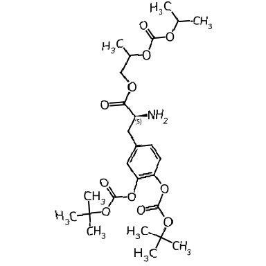 CC(C)OC(=O)OC(C)COC(=O)[C@@H](N)Cc1ccc(OC(=O)OC(C)(C)C)c(OC(=O)OC(C)(C)C)c1